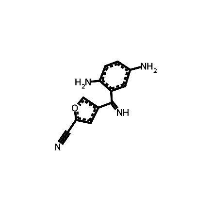 N#Cc1cc(C(=N)c2cc(N)ccc2N)co1